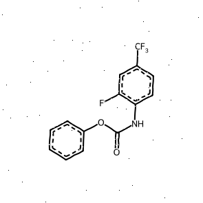 O=C(Nc1ccc(C(F)(F)F)cc1F)Oc1ccccc1